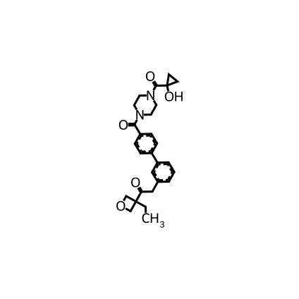 CCC1(C(=O)Cc2cccc(-c3ccc(C(=O)N4CCN(C(=O)C5(O)CC5)CC4)cc3)c2)COC1